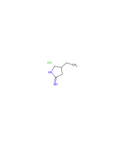 CCC1CNC(=N)C1.Cl